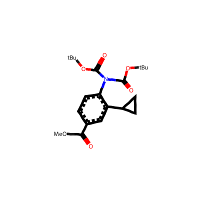 COC(=O)c1ccc(N(C(=O)OC(C)(C)C)C(=O)OC(C)(C)C)c(C2CC2)c1